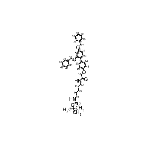 CC(C)(C)OC(=O)NCCCCCNC(=O)COc1ccc(-c2ccc(OCc3ccccc3)nc2OCc2ccccc2)cc1